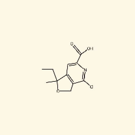 CCC1(C)OCc2c1cc(C(=O)O)nc2Cl